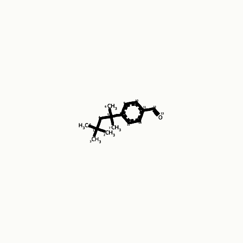 CC(C)(C)CC(C)(C)c1ccc([C]=O)cc1